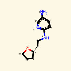 Nc1ccc(NCC[C@@H]2CCCO2)nc1